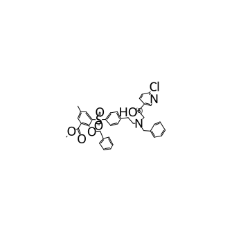 COC(=O)c1cc(C)cc(S(=O)(=O)c2ccc(CCN(Cc3ccccc3)C[C@@H](O)c3ccc(Cl)nc3)cc2)c1OCc1ccccc1